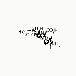 Nc1nc(=O)c2nc(CN(C(=O)[C@@H](N)CCC(=O)O)c3ccc(C(=O)N[C@@H](CCC(=O)O)C(=O)O)cc3)cnc2[nH]1